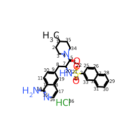 CC1CCN(C(=O)C(Cc2ccc3c(N)nccc3c2)NS(=O)(=O)c2ccc3ccccc3c2)CC1.Cl